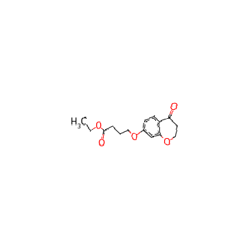 CCOC(=O)CCCOc1ccc2c(c1)OCCC2=O